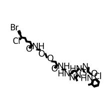 Cc1nc(NCCNC(=O)CCOCCOCCNC(=O)CCCC(Cl)C#CBr)cc(Nc2ncc(C(=O)Nc3c(C)cccc3Cl)s2)n1